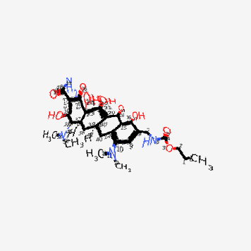 CCCOC(=O)NCc1cc(N(C)C)c2c(c1O)C(=O)C1=C(O)[C@]3(O)C(=O)C(C(N)=O)=C(O)[C@@H](N(C)C)[C@@H]3C[C@@H]1C2